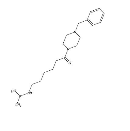 CB(O)NCCCCCC(=O)N1CCN(Cc2ccccc2)CC1